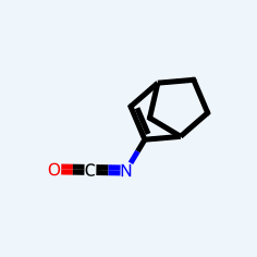 O=C=NC1=CC2CCC1C2